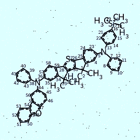 CC1(C)c2cc(N(c3ccccc3)c3ccc([Si](C)(C)C)cc3)ccc2-c2sc3c(c21)C(C)(C)c1cc(N(c2ccccc2)c2ccc4oc5ccccc5c4c2)ccc1-3